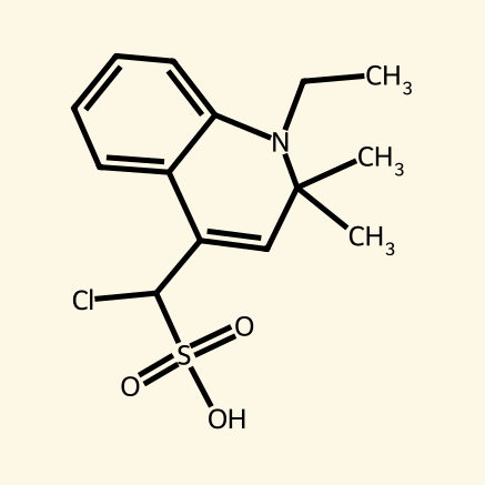 CCN1c2ccccc2C(C(Cl)S(=O)(=O)O)=CC1(C)C